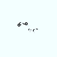 CCn1c(=C=C(C#N)C(=O)NCC#N)sc(=C=CNc2cccc(CCN3CCc4ccccc4C3)c2)c1=O